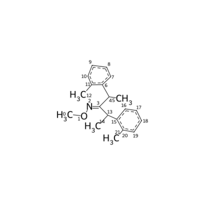 CON=C(C(C)c1ccccc1C)C(C)c1ccccc1C